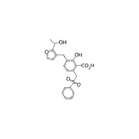 CC(O)c1occc1Cc1ccc(CS(=O)(=O)c2ccccc2)c(C(=O)O)c1O